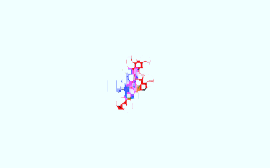 CC[C@@H](NC(=O)N1CC(=S)N(Cc2c(OC)cc(OC)cc2OC)C[C@@H](Cc2cc(Cl)ccc2OC)C1=O)c1cc(C(=O)OC(C)(C)C)ccn1